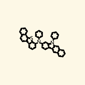 c1ccc(N(c2ccc3c4cc5ccccc5cc4n(-c4ccccc4)c3c2)c2cccc3c2sc2c4ccccc4ccc32)cc1